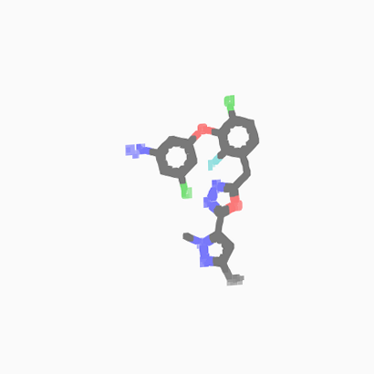 CCCc1cc(-c2nnc(Cc3ccc(Cl)c(Oc4cc(N)cc(Cl)c4)c3F)o2)n(C)n1